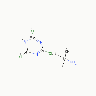 CC(C)(N)C#N.Clc1nc(Cl)nc(Cl)n1